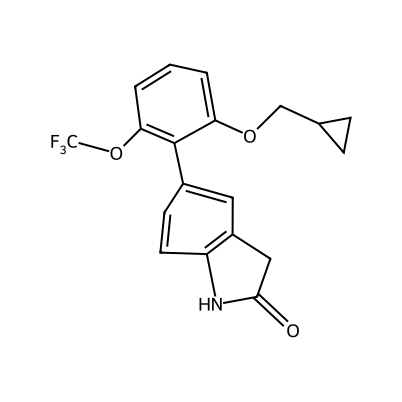 O=C1Cc2cc(-c3c(OCC4CC4)cccc3OC(F)(F)F)ccc2N1